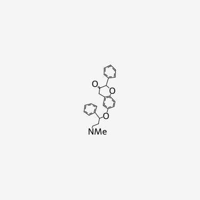 CNCCC(Oc1ccc2c(c1)CC(=O)C(c1ccccc1)O2)c1ccccc1